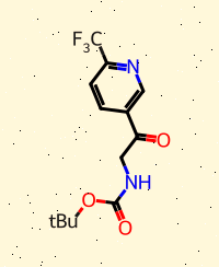 CC(C)(C)OC(=O)NCC(=O)c1ccc(C(F)(F)F)nc1